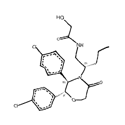 CCC[C@@H](CNC(=O)CO)N1C(=O)CO[C@H](c2ccc(Cl)cc2)[C@H]1c1ccc(Cl)cc1